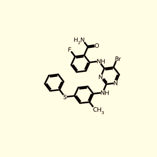 Cc1cc(Sc2ccccc2)ccc1Nc1ncc(Br)c(Nc2cccc(F)c2C(N)=O)n1